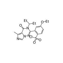 CCOc1ccc(S(=O)(=O)Cl)c(-c2nn3cnc(C)c3c(=O)n2C(CC)CC)c1